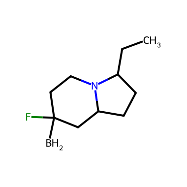 BC1(F)CCN2C(CC)CCC2C1